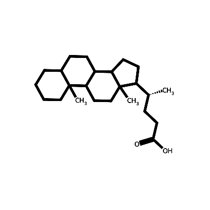 C[C@H](CCC(=O)O)C1CCC2C3CCC4CCCCC4(C)C3CCC21C